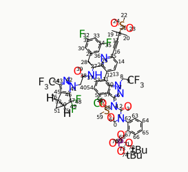 CN(C(=O)N(c1nn(CC(F)(F)F)c2c(-c3ccc(C#CC(C)(C)S(C)(=O)=O)nc3[C@H](Cc3cc(F)cc(F)c3)NC(=O)Cn3nc(C(F)(F)F)c4c3C(F)(F)[C@@H]3C[C@H]43)ccc(Cl)c12)S(C)(=O)=O)c1ccccc1OP(=O)(OC(C)(C)C)OC(C)(C)C